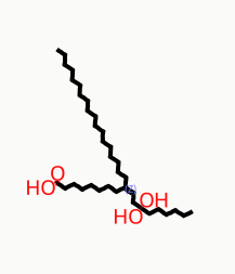 CCCCCCCCCCCCCCCCCC/C(=C/CC(O)(O)CCCCCC)CCCCCCCC(=O)O